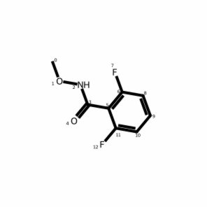 CONC(=O)c1c(F)cccc1F